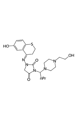 CCCC(N1CCN(CCO)CC1)N1C(=O)CN(/N=C2\CCSc3ccc(O)cc32)C1=O